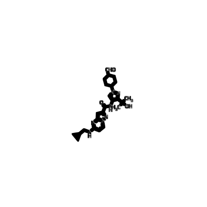 CC(C)(O)c1nn(C2CCC(C=O)CC2)cc1NC(=O)c1cc2nc(NCC3CC3)ccn2n1